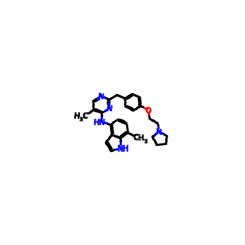 Cc1cnc(Cc2ccc(OCCN3CCCC3)cc2)nc1Nc1ccc(C)c2[nH]ccc12